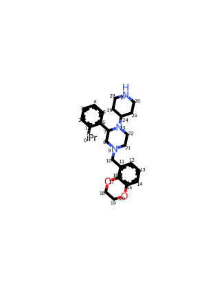 CC(C)c1ccccc1C1CN(Cc2cccc3c2OCCO3)CCN1C1CCNCC1